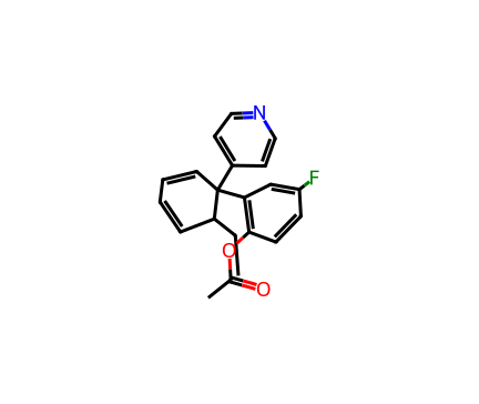 CCC1C=CC=CC1(c1ccncc1)c1cc(F)ccc1OC(C)=O